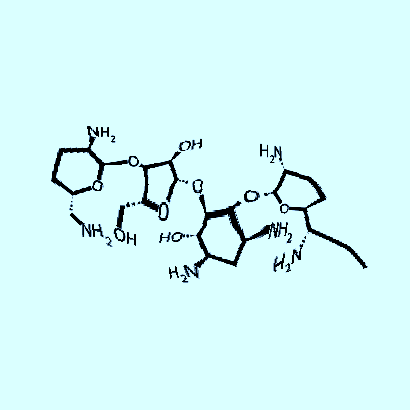 CC[C@H](N)[C@@H]1CC[C@@H](N)[C@@H](O[C@H]2[C@H](O[C@@H]3O[C@H](CO)[C@@H](O[C@H]4O[C@H](CN)CC[C@H]4N)[C@H]3O)[C@@H](O)[C@H](N)C[C@@H]2N)O1